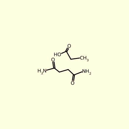 CCC(=O)O.NC(=O)CCC(N)=O